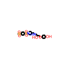 CS(=O)(=O)c1ccc(S(=O)(=O)N2CCC(CNC[C@@H](O)COc3ccc(O)cc3)CC2)cc1